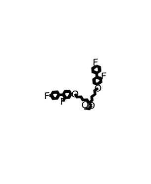 Fc1ccc(-c2ccc(OCCCCC3(CCCCOc4ccc(-c5ccc(F)cc5)c(F)c4)OCCO3)cc2F)cc1